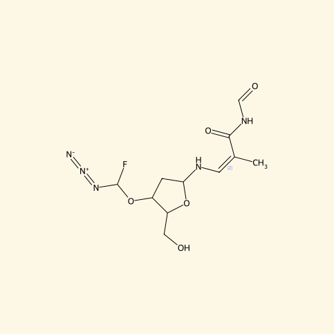 C/C(=C/NC1CC(OC(F)N=[N+]=[N-])C(CO)O1)C(=O)NC=O